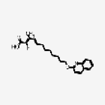 CC(C=CCCCCCCCOc1ccc2ccccc2n1)=C(F)C(=O)O